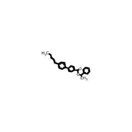 CCCCCc1ccc(-c2ccc(C(=O)OC(C)c3ccccc3)cc2)cc1